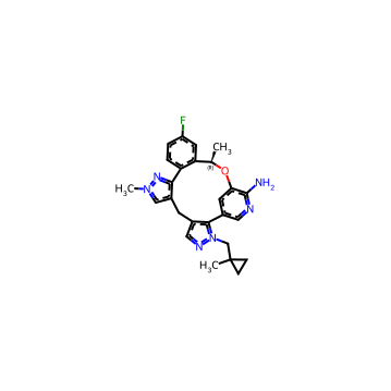 C[C@H]1Oc2cc(cnc2N)-c2c(cnn2CC2(C)CC2)Cc2cn(C)nc2-c2ccc(F)cc21